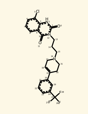 O=c1[nH]c2c(Cl)cccc2c(=O)n1CCCN1CC=C(c2cccc(C(F)(F)F)c2)CC1